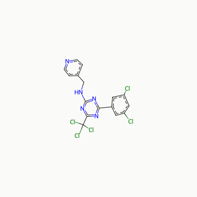 Clc1cc(Cl)cc(-c2nc(NCc3ccncc3)nc(C(Cl)(Cl)Cl)n2)c1